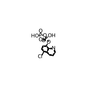 O=P(O)(O)OP(=O)(O)Oc1ccc(Cl)c2cccnc12